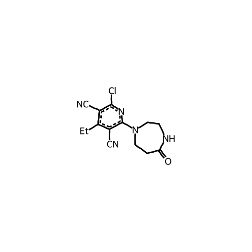 CCc1c(C#N)c(Cl)nc(N2CCNC(=O)CC2)c1C#N